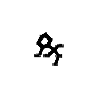 CCCCc1ccccc1C(CCCC)(CCCC)PCl